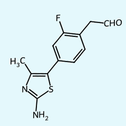 Cc1nc(N)sc1-c1ccc(CC=O)c(F)c1